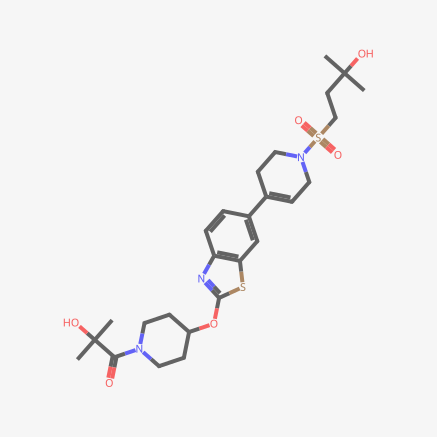 CC(C)(O)CCS(=O)(=O)N1CC=C(c2ccc3nc(OC4CCN(C(=O)C(C)(C)O)CC4)sc3c2)CC1